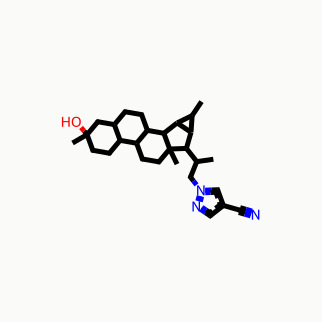 CC(Cn1cc(C#N)cn1)C1C2C(C)C2C2C3CCC4CC(C)(O)CCC4C3CCC12C